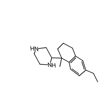 CCc1ccc2c(c1)CCCC2(C)C1CNCCN1